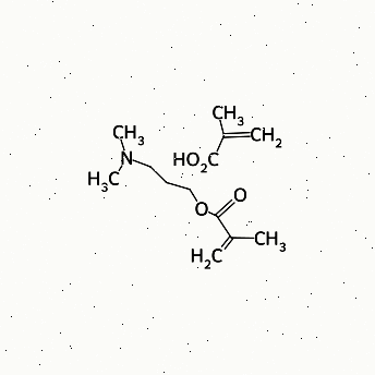 C=C(C)C(=O)O.C=C(C)C(=O)OCCCN(C)C